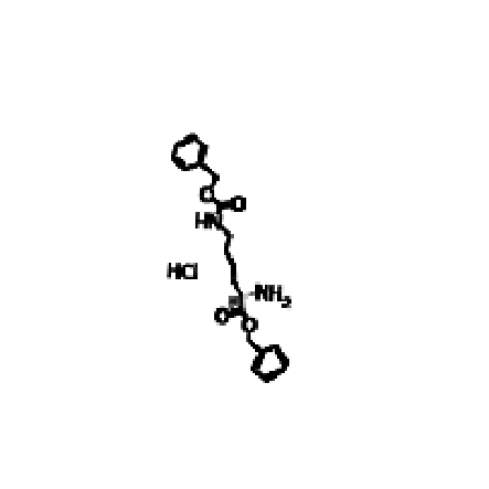 Cl.N[C@@H](CCCCNC(=O)OCc1ccccc1)C(=O)OCc1ccccc1